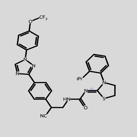 CC(C)c1ccccc1N1CCS/C1=N\C(=O)NCC(C#N)c1ccc(-c2ncn(-c3ccc(OC(F)(F)F)cc3)n2)cc1